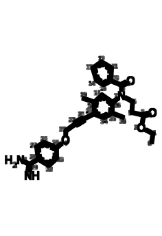 CCOC(=O)CCN(C(=O)c1ccccc1)c1cc(C)c(C#CCOc2ccc(C(=N)N)cc2)cc1C